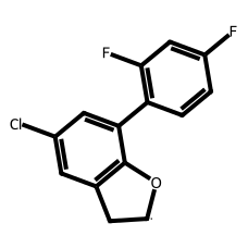 Fc1ccc(-c2cc(Cl)cc3c2O[CH]C3)c(F)c1